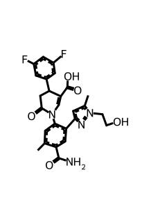 Cc1cc(N2C=C(C(=O)O)C(c3cc(F)cc(F)c3)CC2=O)c(-c2cc(C)n(CCO)n2)cc1C(N)=O